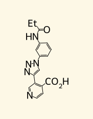 CCC(=O)Nc1cccc(-n2cc(-c3cnccc3C(=O)O)nn2)c1